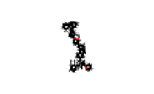 C1=CC(C2=NC(C3C=c4sc5ccc(-c6ccc7c(c6)sc6cc(-n8c9ccccc9c9ccccc98)ccc67)cc5c4=CC3)NC(c3ccccc3)=N2)=CCC1